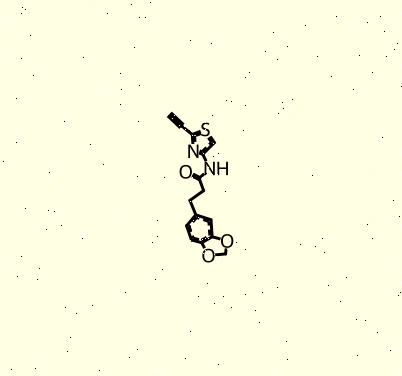 C#Cc1nc(NC(=O)CCc2ccc3c(c2)OCO3)cs1